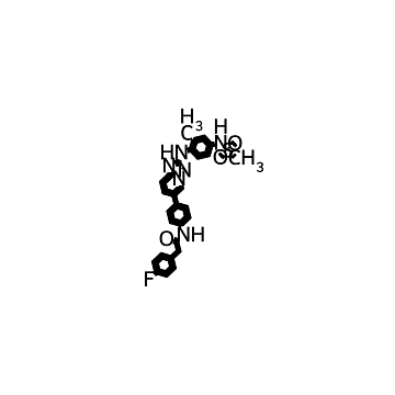 Cc1cc(NS(C)(=O)=O)ccc1Nc1nc2ccc(-c3ccc(NC(=O)Cc4ccc(F)cc4)cc3)cn2n1